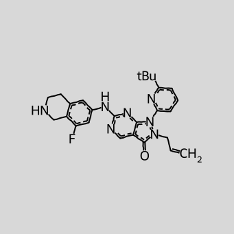 C=CCn1c(=O)c2cnc(Nc3cc(F)c4c(c3)CCNC4)nc2n1-c1cccc(C(C)(C)C)n1